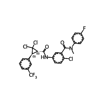 CN(C(=O)c1cc(NC(=O)[C@@H]2[C@@H](c3cccc(C(F)(F)F)c3)C2(Cl)Cl)ccc1Cl)c1ccc(F)cc1